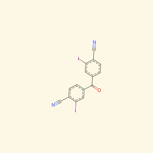 N#Cc1ccc(C(=O)c2ccc(C#N)c(I)c2)cc1I